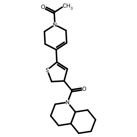 CC(=O)N1CC=C(C2=CC(C(=O)N3CCCC4CCCCC43)CS2)CC1